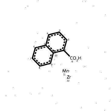 O=C(O)c1cccc2ccccc12.[Mn].[Zr]